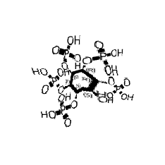 O=P(O)(O)O[C@@H]1[C@H](OP(=O)(O)O)[C@H](OP(=O)(O)O)[C@@H](O)[C@H](OP(=O)(O)O)[C@H]1OP(=O)(O)O